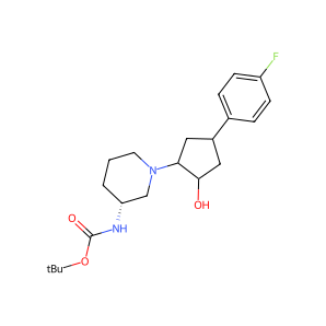 CC(C)(C)OC(=O)N[C@@H]1CCCN(C2CC(c3ccc(F)cc3)CC2O)C1